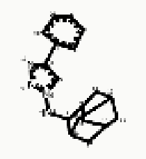 c1ccc(-c2cn(NC3C4CC5CC(C4)CC3C5)nn2)cc1